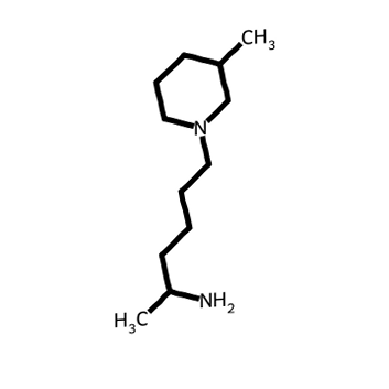 CC(N)CCCCN1CCCC(C)C1